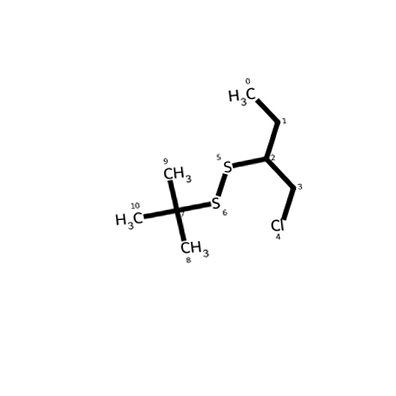 CCC(CCl)SSC(C)(C)C